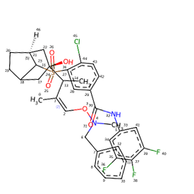 C/C(=C/ON(C)Cc1ccccc1)C(C)[C@]1(O)CC2CC[C@@H](C1)C2S(=O)(=O)c1cc(C(=O)Nc2cc(F)c(F)c(F)c2)ccc1Cl